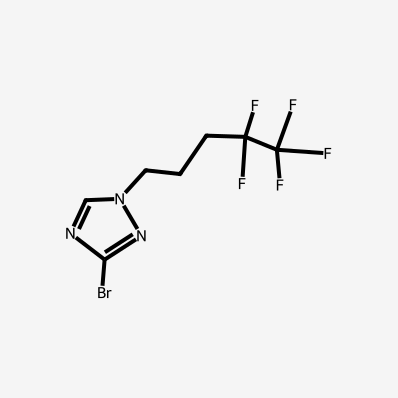 FC(F)(F)C(F)(F)CCCn1cnc(Br)n1